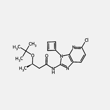 C[C@H](CC(=O)Nc1nc2ccc(Cl)nc2n1C1=CC=C1)OC(C)(C)C